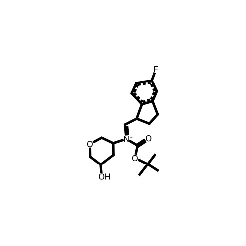 CC(C)(C)OC(=O)/[N+](=C\C1CCc2cc(F)ccc21)C1COCC(O)C1